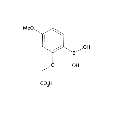 COc1ccc(B(O)O)c(OCC(=O)O)c1